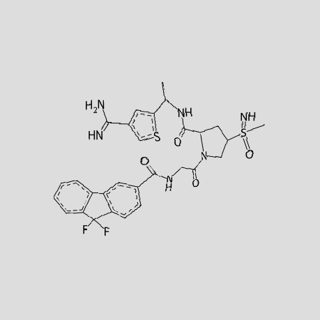 CC(NC(=O)C1CC(S(C)(=N)=O)CN1C(=O)CNC(=O)c1ccc2c(c1)-c1ccccc1C2(F)F)c1cc(C(=N)N)cs1